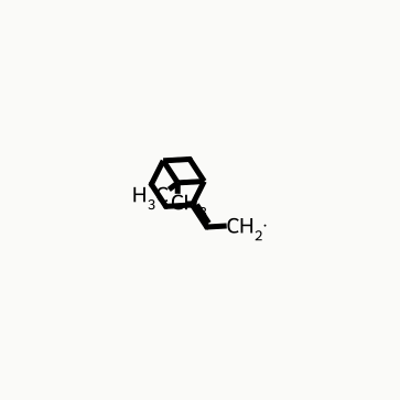 [CH2]C=C1CCC2CC1C2(C)C